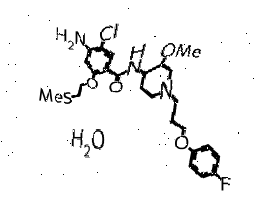 COC1CN(CCCOc2ccc(F)cc2)CCC1NC(=O)c1cc(Cl)c(N)cc1OCCSC.O